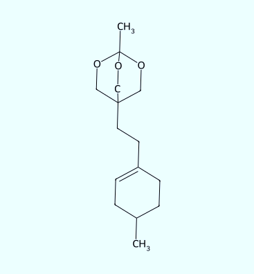 CC1CC=C(CCC23COC(C)(OC2)OC3)CC1